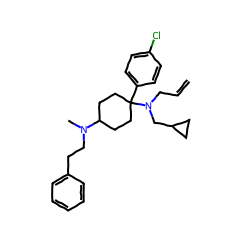 C=CCN(CC1CC1)C1(c2ccc(Cl)cc2)CCC(N(C)CCc2ccccc2)CC1